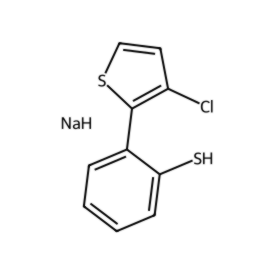 Sc1ccccc1-c1sccc1Cl.[NaH]